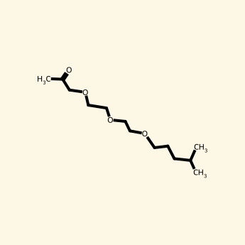 CC(=O)COCCOCCOCCCC(C)C